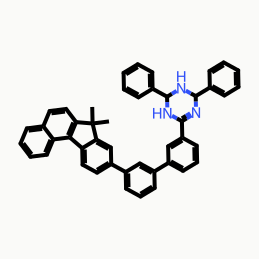 CC1(C)c2cc(-c3cccc(-c4cccc(C5=NC(c6ccccc6)NC(c6ccccc6)N5)c4)c3)ccc2-c2c1ccc1ccccc21